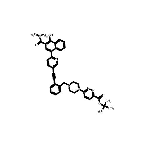 CN(C)C(=O)c1cc(-c2ccc(C#Cc3ccccc3CN3CCN(c4ccc(C(=O)OC(C)(C)C)nn4)CC3)cn2)c2ccccc2c1O